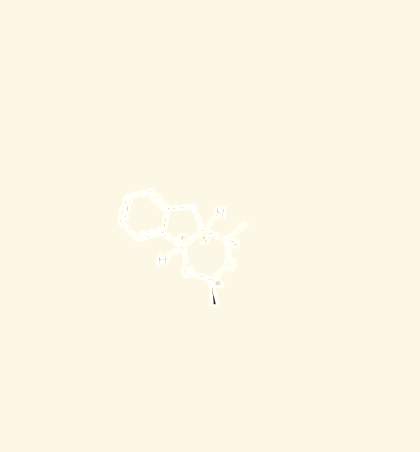 C[C@@H]1O[C@@H](C)[C@@H]2Cc3ccccc3[C@@H]2O1